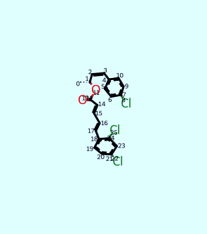 C[C@H](/C=C\c1ccc(Cl)cc1)OC(=O)/C=C/C=C/c1ccc(Cl)cc1Cl